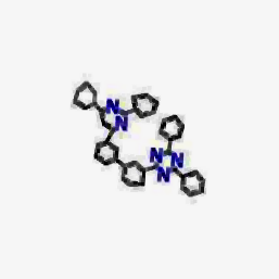 C1=CCC(c2cc(-c3cccc(-c4cccc(-c5nc(-c6ccccc6)nc(-c6ccccc6)n5)c4)c3)nc(-c3ccccc3)n2)C=C1